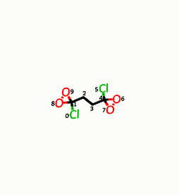 ClC1(CCC2(Cl)OO2)OO1